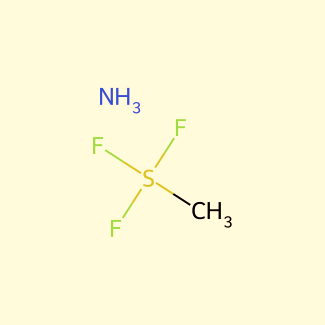 CS(F)(F)F.N